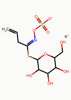 C=CCC(=NOS(=O)(=O)[O-])SC1OC(CO)C(O)C(O)C1O.[K+]